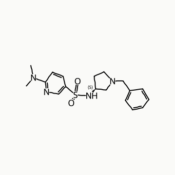 CN(C)c1ccc(S(=O)(=O)N[C@H]2CCN(Cc3ccccc3)C2)cn1